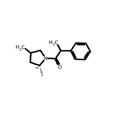 CC1C[C@@H](I)N(C(=O)C(C)c2ccccc2)C1